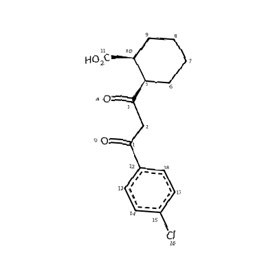 O=C(CC(=O)[C@@H]1CCCC[C@@H]1C(=O)O)c1ccc(Cl)cc1